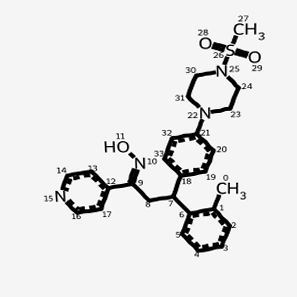 Cc1ccccc1C(CC(=NO)c1ccncc1)c1ccc(N2CCN(S(C)(=O)=O)CC2)cc1